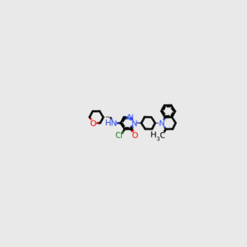 CC1CCc2ccccc2N1[C@H]1CC[C@H](n2ncc(NC[C@H]3CCCOC3)c(Cl)c2=O)CC1